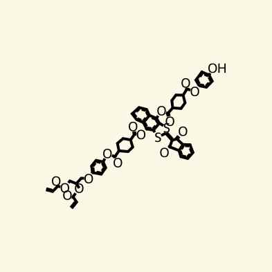 C=CC(=O)OCC(COc1ccc(OC(=O)C2CCC(C(=O)Oc3c4c(c(OC(=O)C5CCC(C(=O)Oc6ccc(O)cc6)CC5)c5ccccc35)SC(=C3C(=O)c5ccccc5C3=O)S4)CC2)cc1)OC(=O)C=C